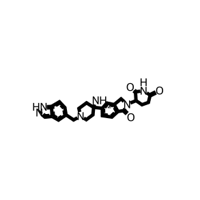 NC1(c2ccc3c(c2)CN(C2CCC(=O)NC2=O)C3=O)CCN(Cc2ccc3[nH]ncc3c2)CC1